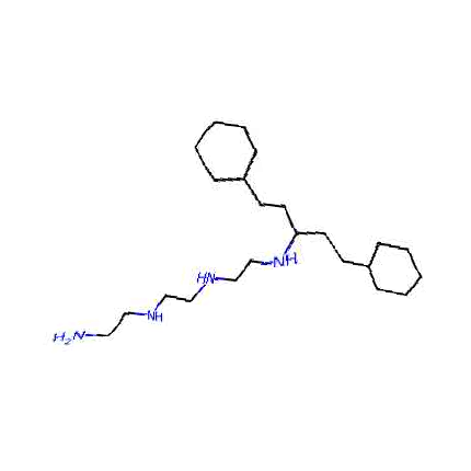 NCCNCCNCCNC(CCC1CCCCC1)CCC1CCCCC1